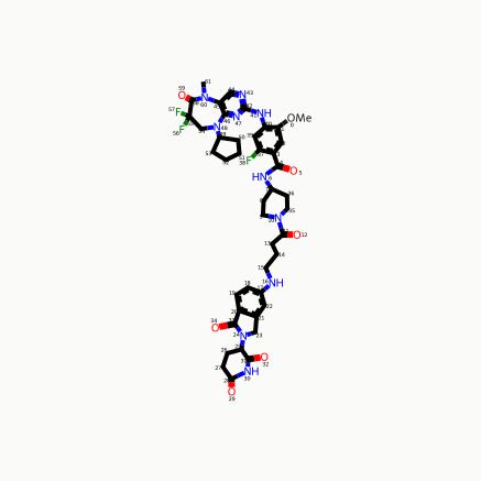 COc1cc(C(=O)NC2CCN(C(=O)CCCNc3ccc4c(c3)CN(C3CCC(=O)NC3=O)C4=O)CC2)c(F)cc1Nc1ncc2c(n1)N(C1CCCC1)CC(F)(F)C(=O)N2C